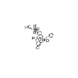 C#CCNS(=O)(=O)c1ccc(CCN(Cc2cc(Cl)ccc2OC)C(=O)Cc2ccccc2)cc1